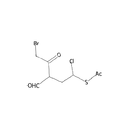 CC(=O)SC(Cl)CC([C]=O)C(=O)CBr